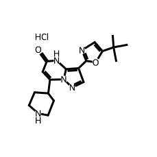 CC(C)(C)c1cnc(-c2cnn3c(C4CCNCC4)cc(=O)[nH]c23)o1.Cl